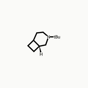 CC(C)(C)N1CCC2CC[C@H]2C1